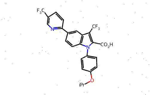 CC(C)Oc1ccc(-n2c(C(=O)O)c(C(F)(F)F)c3cc(-c4ccc(C(F)(F)F)cn4)ccc32)cc1